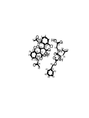 CC(=O)Nc1cccc(Cl)c1C(C(=O)O)C(=O)C(C(=O)O)c1c(Cl)cccc1NC(C)=O.CC(C)C[C@H](NC(=O)OCc1ccccc1)C(=O)NCC(=O)O